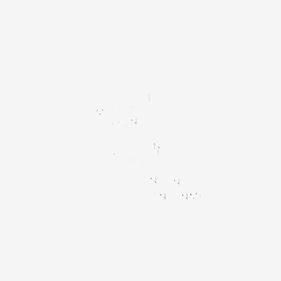 CNc1ncnc(-c2cccnc2Oc2cc(C(=O)Nc3cc(C4CCCCC4)ccc3OC)ccc2C)n1